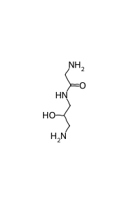 NCC(=O)NCC(O)CN